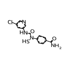 NC(=O)c1ccc(N(S)C(=O)Nc2cncc(Cl)c2)cc1